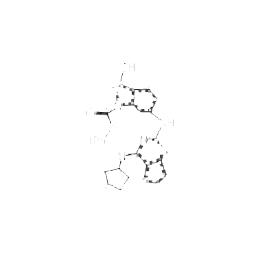 Cc1nn(C(=O)OC(C)(C)C)c2cc(Nc3nc(NC4CCCC4)c4occc4n3)ccc12